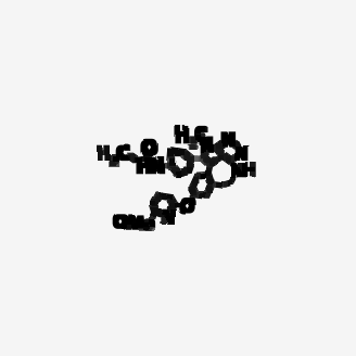 C=CC(=O)Nc1ccc(-c2c3c4c(ncnc4n2C)NCCc2cc(Oc4cccc(OC)n4)ccc2-3)cc1